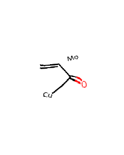 C=C[C](=O)[Cu].[Mo]